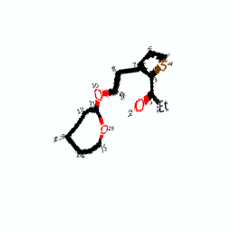 CCC(=O)c1sccc1CCOC1CCCCO1